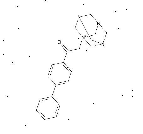 O=C(C[N+]12CN3CN(CN(C3)C1)C2)c1ccc(-c2ccccc2)cc1